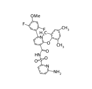 COc1cc(F)c(-c2ccc(C(=O)NS(=O)(=O)c3cccc(N)n3)c(Oc3c(C)cc(C)cc3C)n2)cc1F